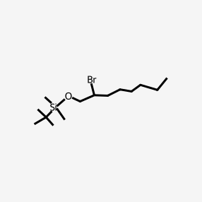 CCCCCCC(Br)CO[Si](C)(C)C(C)(C)C